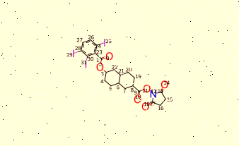 O=C(OC1CCC2CC(C(=O)ON3C(=O)CCC3=O)CCC2C1)c1c(I)ccc(I)c1I